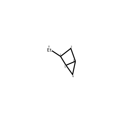 [CH2]CC1CC2C[C]12